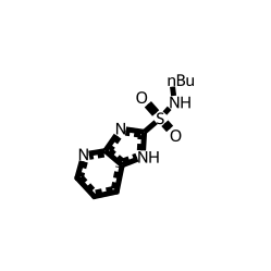 CCCCNS(=O)(=O)c1nc2ncccc2[nH]1